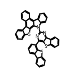 c1ccc2c(c1)sc1c(-c3nc(-n4c5ccccc5c5c6ccccc6c6c7ccccc7sc6c54)nc4c3sc3ccccc34)cccc12